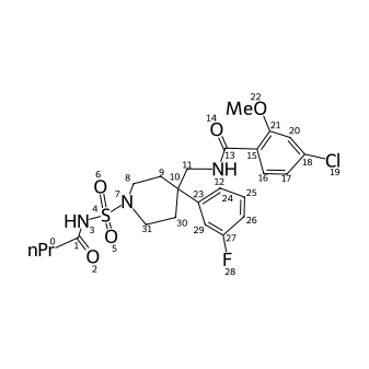 CCCC(=O)NS(=O)(=O)N1CCC(CNC(=O)c2ccc(Cl)cc2OC)(c2cccc(F)c2)CC1